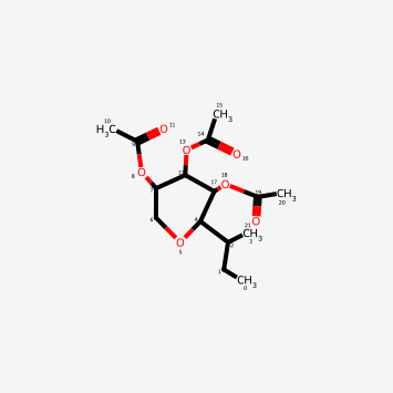 CCC(C)C1OCC(OC(C)=O)C(OC(C)=O)C1OC(C)=O